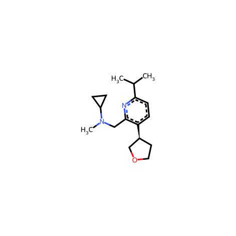 CC(C)c1ccc([C@H]2CCOC2)c(CN(C)C2CC2)n1